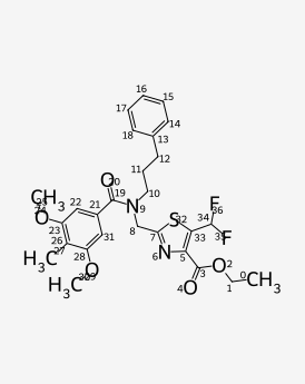 CCOC(=O)c1nc(CN(CCCc2ccccc2)C(=O)c2cc(OC)c(C)c(OC)c2)sc1C(F)F